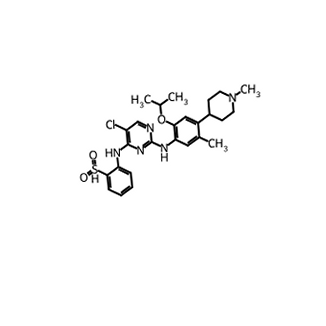 Cc1cc(Nc2ncc(Cl)c(Nc3ccccc3[SH](=O)=O)n2)c(OC(C)C)cc1C1CCN(C)CC1